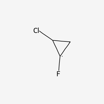 F[C]1CC1Cl